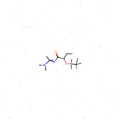 CCC(O[Si](C)(C)C(C)(C)C)C(=O)/N=C(\C)N(C)C